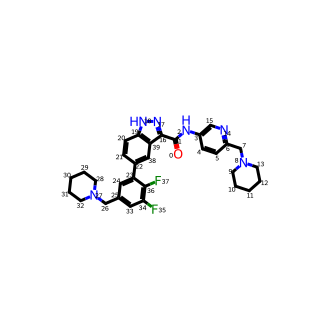 O=C(Nc1ccc(CN2CCCCC2)nc1)c1n[nH]c2ccc(-c3cc(CN4CCCCC4)cc(F)c3F)cc12